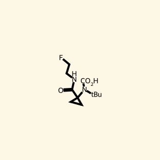 CC(C)(C)N(C(=O)O)C1(C(=O)NCCF)CC1